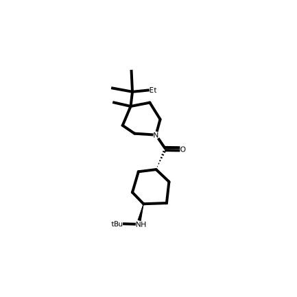 CCC(C)(C)C1(C)CCN(C(=O)[C@H]2CC[C@H](NC(C)(C)C)CC2)CC1